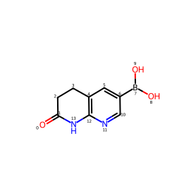 O=C1CCc2cc(B(O)O)cnc2N1